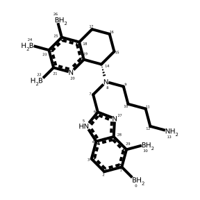 Bc1ccc2[nH]c(CN(CCCCN)[C@H]3CCCc4c3nc(B)c(B)c4B)nc2c1B